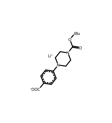 CC(C)(C)OC(=O)N1CCN(c2ccc(C(=O)[O-])cc2)CC1.[Li+]